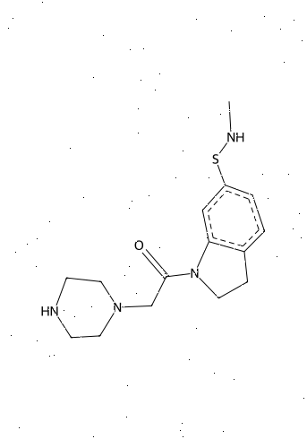 CNSc1ccc2c(c1)N(C(=O)CN1CCNCC1)CC2